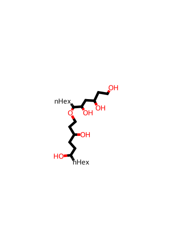 CCCCCCC(O)CCC(O)CCOC(CCCCCC)C(O)CC(O)CCO